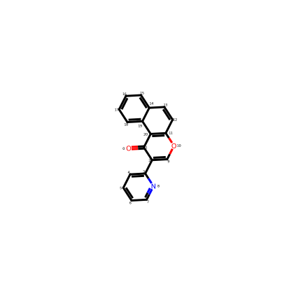 O=c1c(-c2ccccn2)coc2ccc3ccccc3c12